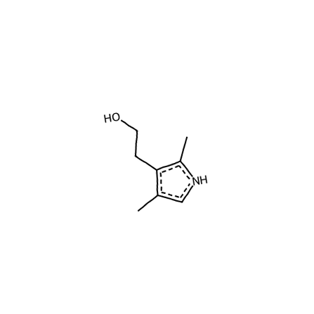 Cc1c[nH]c(C)c1CCO